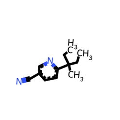 CCC(C)(CC)c1ccc(C#N)cn1